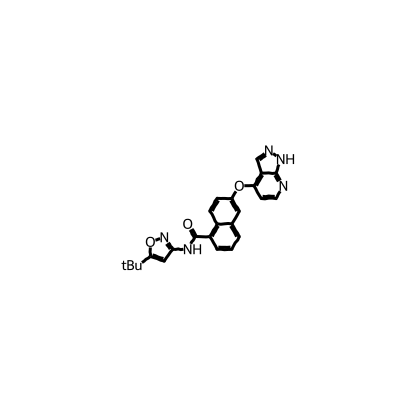 CC(C)(C)c1cc(NC(=O)c2cccc3cc(Oc4ccnc5[nH]ncc45)ccc23)no1